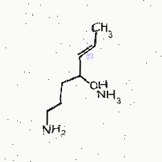 C/C=C/C(O)CCCN.N